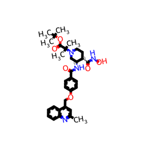 Cc1cc(COc2ccc(C(=O)N[C@@H]3CN(C(C)(C)C(=O)OC(C)(C)C)CC[C@@H]3C(=O)NO)cc2)c2ccccc2n1